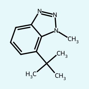 Cn1nnc2cccc(C(C)(C)C)c21